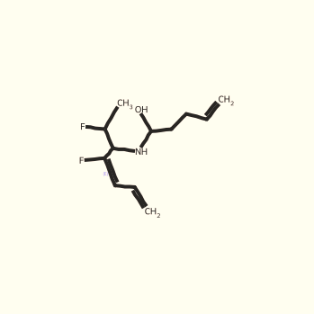 C=C/C=C(/F)C(NC(O)CCC=C)C(C)F